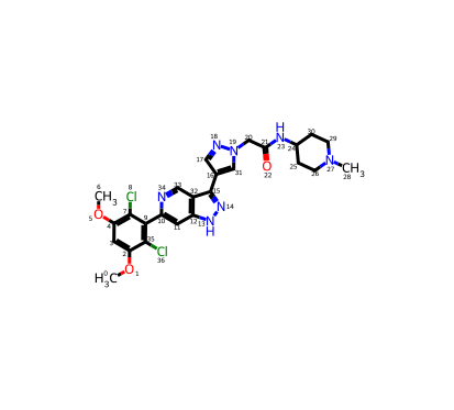 COc1cc(OC)c(Cl)c(-c2cc3[nH]nc(-c4cnn(CC(=O)NC5CCN(C)CC5)c4)c3cn2)c1Cl